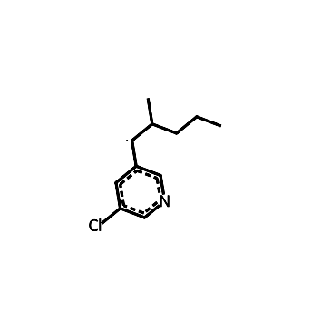 CCCC(C)[CH]c1cncc(Cl)c1